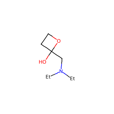 CCN(CC)CC1(O)CCO1